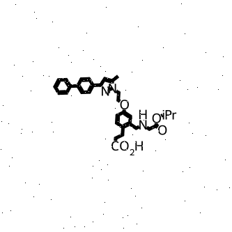 Cc1cc(-c2ccc(-c3ccccc3)cc2)nn1CCOc1ccc(CCC(=O)O)c(CNCC(=O)OC(C)C)c1